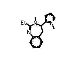 CCC1=Nc2ccccc2CC(c2cccn2C)N1C